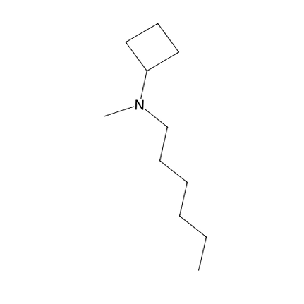 CCCCCCN(C)C1CCC1